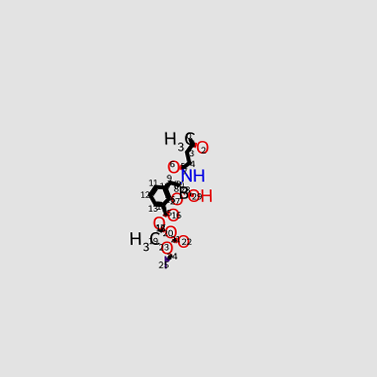 CC(=O)CCC(=O)N[C@H]1Cc2cccc(C(=O)OC(C)OC(=O)OCI)c2OB1O